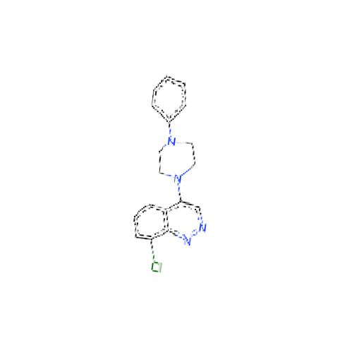 Clc1cccc2c(N3CCN(c4ccccc4)CC3)cnnc12